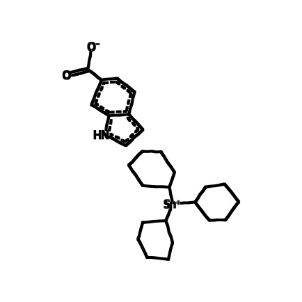 C1CC[CH]([Sn+]([CH]2CCCCC2)[CH]2CCCCC2)CC1.O=C([O-])c1ccc2cc[nH]c2c1